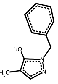 Cc1cnn(Cc2ccccc2)c1O